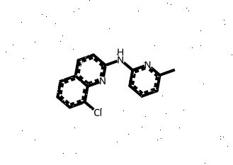 Cc1cccc(Nc2ccc3cccc(Cl)c3n2)n1